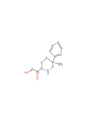 CC1(c2ccccc2)CCC(C(=O)C=O)NC1